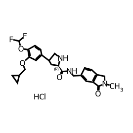 CN1Cc2ccc(CNC(=O)[C@H]3CC(c4ccc(OC(F)F)c(OCC5CC5)c4)CN3)cc2C1=O.Cl